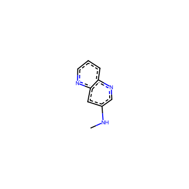 CNc1cnc2cccnc2c1